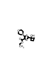 CCOC(=O)c1nc(C2(O)CCC2)sc1N1CCOCC1